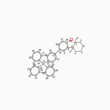 CC12CCCCC1(C)c1cc(-c3ccc4c(c3)-c3ccccc3C43c4ccccc4-c4ccccc43)ccc1O2